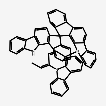 C/C=C(\C=C/C(C)n1c2ccccc2c2ccc3c(c21)C1(c2ccccc2-3)c2ccccc2-c2c1ccc1c2[nH]c2ccccc21)n1c2ccccc2c2ccccc21